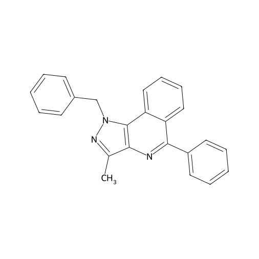 Cc1nn(Cc2ccccc2)c2c1nc(-c1ccccc1)c1ccccc12